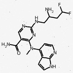 CN(c1nc(NCC(N)CC(F)F)ncc1C(N)=O)c1ccnc2[nH]ccc12